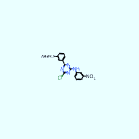 COc1cccc(-c2nc(Cl)nc(Nc3cccc([N+](=O)[O-])c3)n2)c1